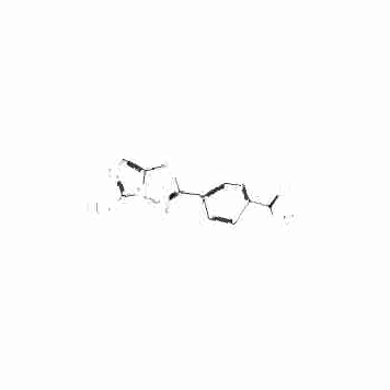 COC(=O)c1ccc(-c2nn3c(C)ncc3o2)cc1